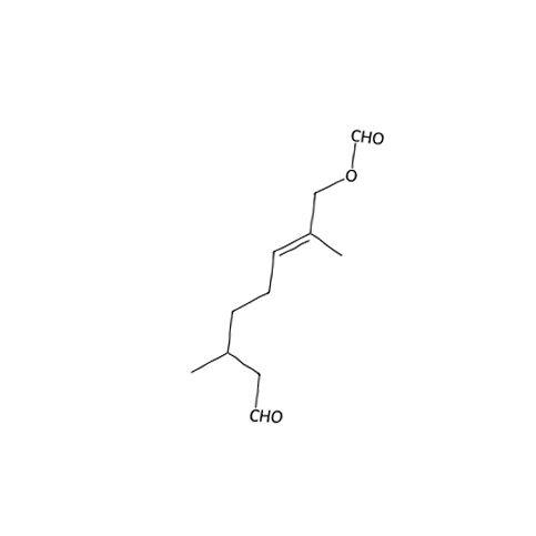 C/C(=C\CCC(C)CC=O)COC=O